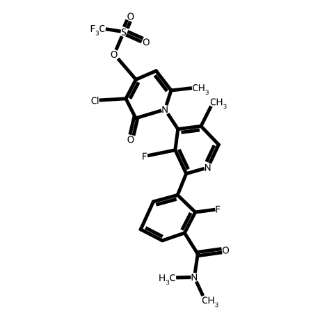 Cc1cnc(-c2cccc(C(=O)N(C)C)c2F)c(F)c1-n1c(C)cc(OS(=O)(=O)C(F)(F)F)c(Cl)c1=O